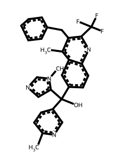 Cc1ccc(C(O)(c2ccc3nc(C(F)(F)F)c(Cc4ccccc4)c(C)c3c2)c2cncn2C)cn1